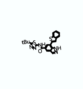 CC(C)(C)c1nnc(NC(=O)c2cc(-c3cc4ccccc4s3)c3[nH]ncc3c2)s1